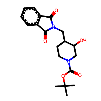 CC(C)(C)OC(=O)N1CCC(CN2C(=O)c3ccccc3C2=O)C(O)C1